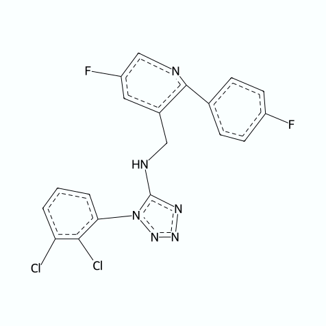 Fc1ccc(-c2ncc(F)cc2CNc2nnnn2-c2cccc(Cl)c2Cl)cc1